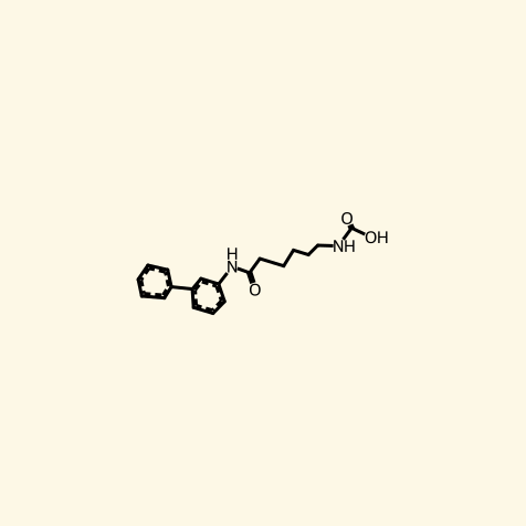 O=C(O)NCCCCCC(=O)Nc1cccc(-c2ccccc2)c1